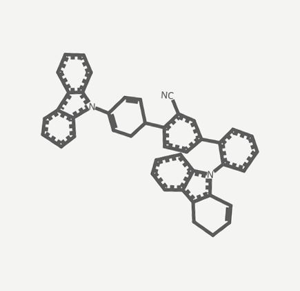 N#Cc1cc(-c2ccccc2-n2c3c(c4ccccc42)CCC=C3)ccc1C1C=CC(n2c3ccccc3c3ccccc32)=CC1